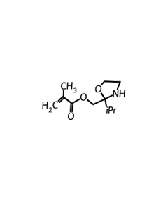 C=C(C)C(=O)OCC1(C(C)C)NCCO1